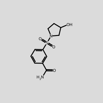 NC(=O)c1cccc(S(=O)(=O)N2CCC(O)C2)c1